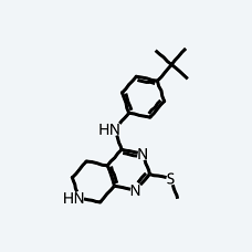 CSc1nc2c(c(Nc3ccc(C(C)(C)C)cc3)n1)CCNC2